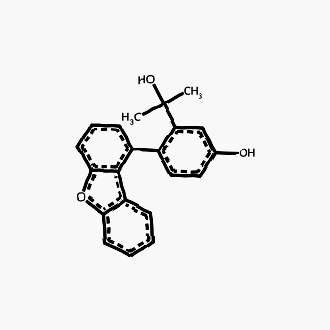 CC(C)(O)c1cc(O)ccc1-c1cccc2oc3ccccc3c12